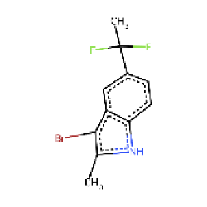 Cc1[nH]c2ccc(C(C)(F)F)cc2c1Br